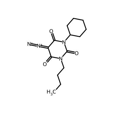 CCCCN1C(=O)C(=[N+]=[N-])C(=O)N(C2CCCCC2)C1=O